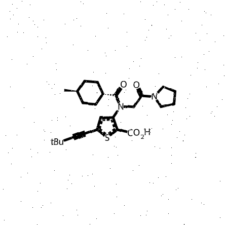 CC(C)(C)C#Cc1cc(N(CC(=O)N2CCCC2)C(=O)[C@H]2CC[C@H](C)CC2)c(C(=O)O)s1